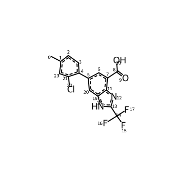 Cc1ccc(-c2cc(C(=O)O)c3nc(C(F)(F)F)[nH]c3c2)c(Cl)c1